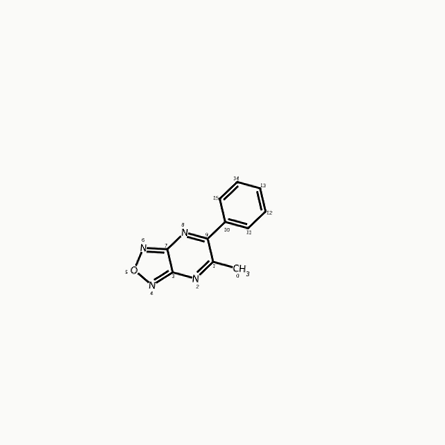 Cc1nc2nonc2nc1-c1ccccc1